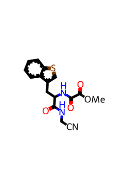 COC(=O)C(=O)NC(Cc1csc2ccccc12)C(=O)NCC#N